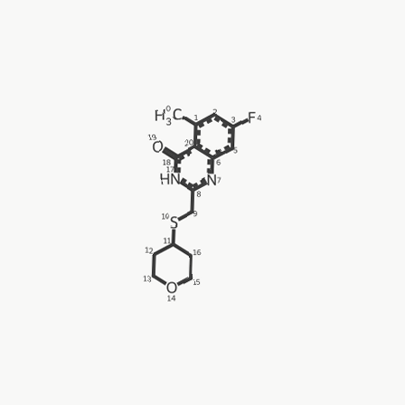 Cc1cc(F)cc2nc(CSC3CCOCC3)[nH]c(=O)c12